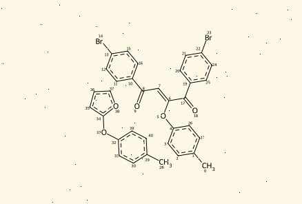 Cc1ccc(OC(=CC(=O)c2ccc(Br)cc2)C(=O)c2ccc(Br)cc2)cc1.Cc1ccc(Oc2ccco2)cc1